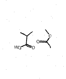 CC(C)C(=O)O.COC(C)=O